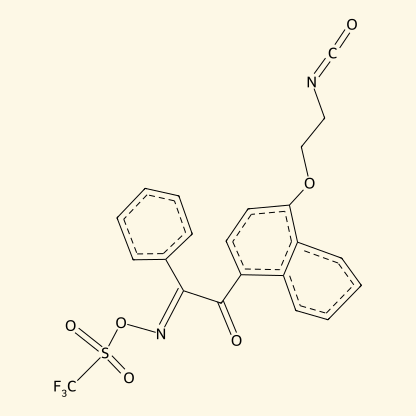 O=C=NCCOc1ccc(C(=O)/C(=N/OS(=O)(=O)C(F)(F)F)c2ccccc2)c2ccccc12